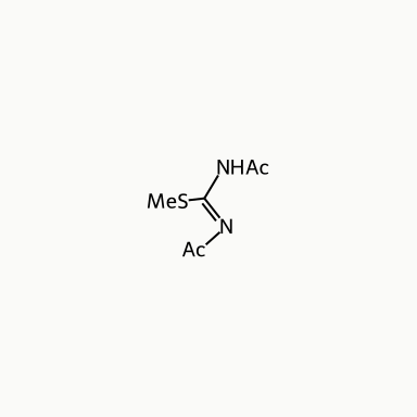 CS/C(=N\C(C)=O)NC(C)=O